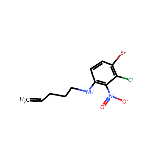 C=CCCCNc1ccc(Br)c(Cl)c1[N+](=O)[O-]